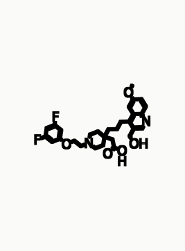 COc1ccc2ncc(CO)c(CCCC3(CC(=O)O)CCN(CCOc4cc(F)cc(F)c4)CC3)c2c1